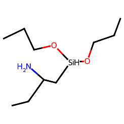 CCCO[SiH](CC(N)CC)OCCC